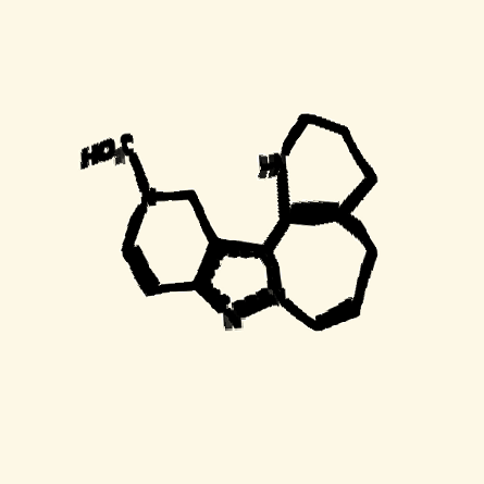 O=C(O)N1C=Cc2nn3c(c2C1)C1=C(CC=C3)CCCN1